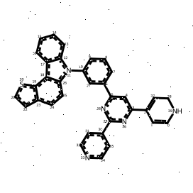 C1=CC(c2cc(-c3cccc(-n4c5ccccc5c5c6sccc6ccc54)c3)nc(-c3ccncc3)n2)=CCN1